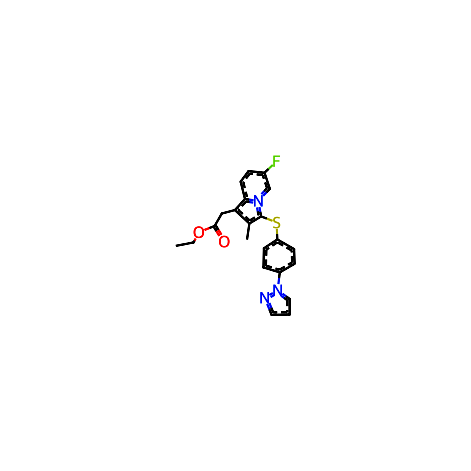 CCOC(=O)Cc1c(C)c(Sc2ccc(-n3cccn3)cc2)n2cc(F)ccc12